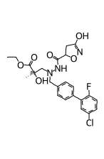 CCOC(=O)[C@](C)(O)CN(Cc1ccc(-c2cc(Cl)ccc2F)cc1)NC(=O)C1CC(O)=NO1